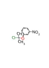 CC(C)(Cl)Oc1cccc([N+](=O)[O-])c1